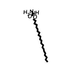 CCCCCCCCCCCCCCCCCCCCCCOC(=O)NN